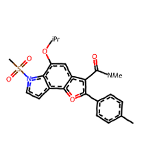 CNC(=O)c1c(-c2ccc(C)cc2)oc2c1cc(OC(C)C)c1c2ccn1S(C)(=O)=O